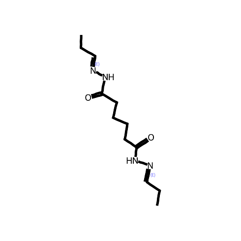 CC/C=N/NC(=O)CCCCC(=O)N/N=C/CC